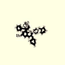 CN(C)CCC(O)(c1ccccc1)c1cc(Br)cc2cc(Cc3ccccc3)c(N3CCN(Cc4ccccc4)CC3)nc12